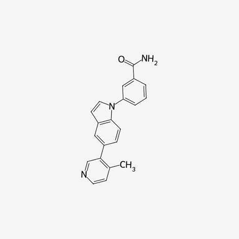 Cc1ccncc1-c1ccc2c(ccn2-c2cccc(C(N)=O)c2)c1